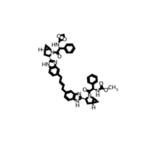 COC(=O)N[C@@H](C(=O)N1C2C[C@@H]2C[C@H]1c1nc2cc(C/C=C/Cc3ccc4[nH]c([C@@H]5C[C@H]6CC6N5C(=O)[C@H](NC5OCO5)c5ccccc5)nc4c3)ccc2[nH]1)c1ccccc1